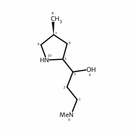 CNCCC(O)C1C[C@H](C)CN1